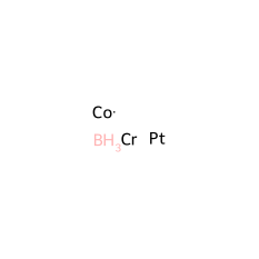 B.[Co].[Cr].[Pt]